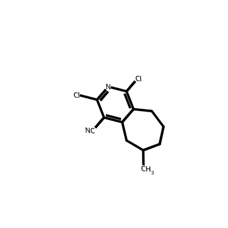 CC1CCCc2c(Cl)nc(Cl)c(C#N)c2C1